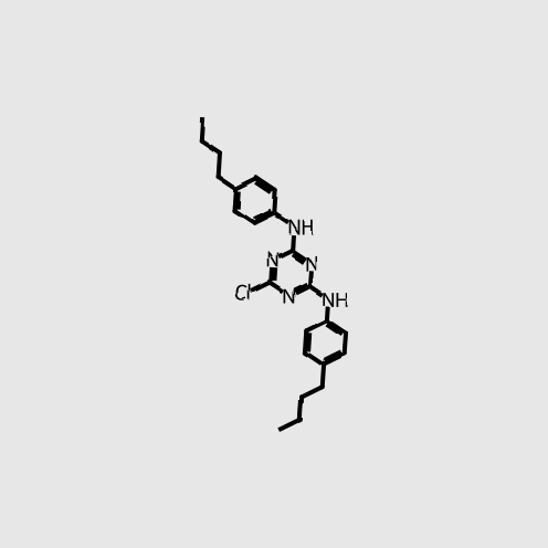 CCCCc1ccc(Nc2nc(Cl)nc(Nc3ccc(CCCC)cc3)n2)cc1